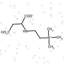 C[N+](C)(C)CCNC(CC(=O)O)C(=O)[O-]